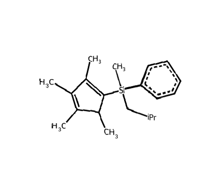 CC1=C(C)C(C)C([Si](C)(CC(C)C)c2ccccc2)=C1C